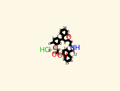 Cc1ccc(C2CC(CCN[C@H](C)c3cccc4ccccc34)Oc3ccccc32)cc1OCC(=O)O.Cl